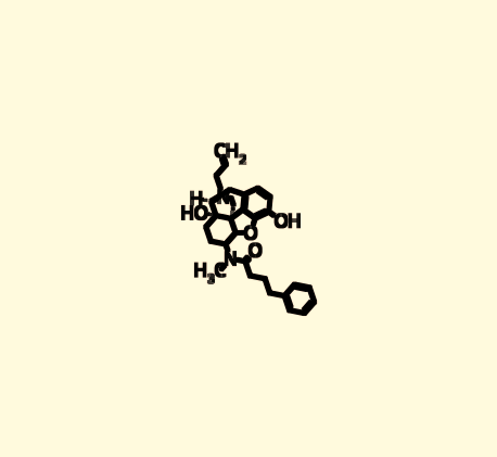 C=CCN1CC[C@]23c4c5ccc(O)c4OC2C(N(C)C(=O)CCCc2ccccc2)CC[C@@]3(O)[C@H]1C5